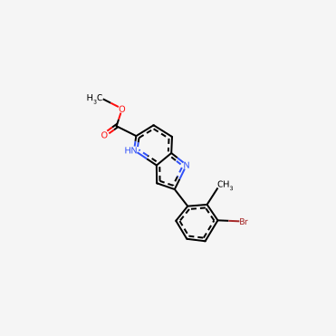 COC(=O)c1ccc2nc(-c3cccc(Br)c3C)cc-2[nH]1